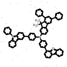 CC1(C)c2cc(N(c3ccc(-c4ccc5c(c4)c4ccccc4n5-c4ccccc4)cc3)c3ccc(-c4cccc5c4oc4ccccc45)cc3)ccc2-c2cc(-c3ccccc3)cc(-c3ccccc3)c21